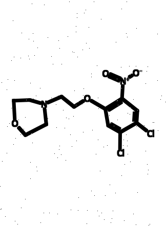 O=[N+]([O-])c1cc(Cl)c(Cl)cc1OCCN1CCOCC1